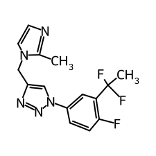 Cc1nccn1Cc1cn(-c2ccc(F)c(C(C)(F)F)c2)nn1